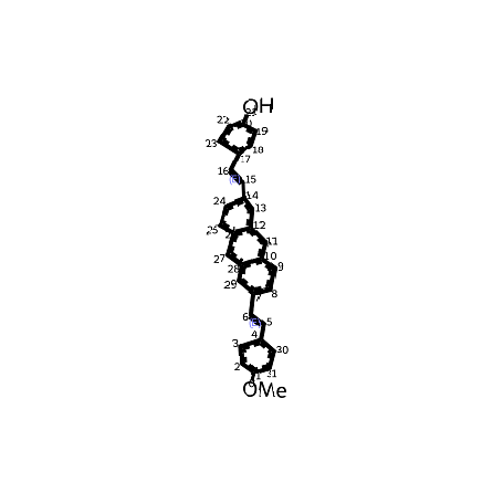 COc1ccc(/C=C/c2ccc3cc4cc(/C=C/c5ccc(O)cc5)ccc4cc3c2)cc1